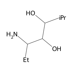 CCC(N)C(O)C(O)C(C)C